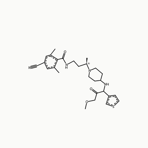 COCC(=O)C(NC1CCN([C@H](C)CCNC(=O)c2c(C)cc(C#N)cc2C)CC1)c1ccsc1